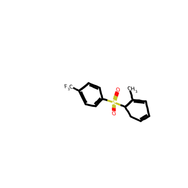 CC1=CC=CCC1S(=O)(=O)c1ccc(C(F)(F)F)cc1